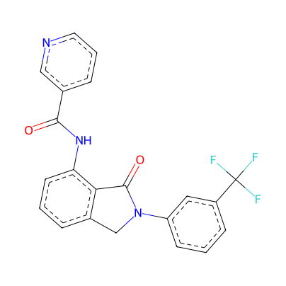 O=C(Nc1cccc2c1C(=O)N(c1cccc(C(F)(F)F)c1)C2)c1cccnc1